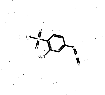 NS(=O)(=O)c1ccc(N=C=S)cc1[N+](=O)[O-]